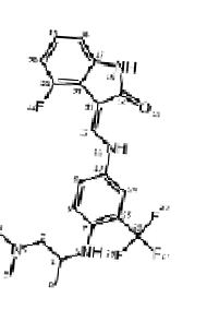 CC(CN(C)C)Nc1ccc(NC=C2C(=O)Nc3cccc(F)c32)cc1C(F)(F)F